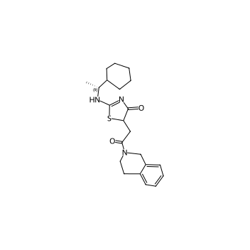 C[C@@H](NC1=NC(=O)C(CC(=O)N2CCc3ccccc3C2)S1)C1CCCCC1